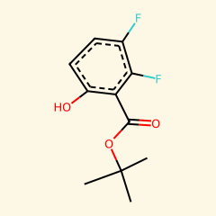 CC(C)(C)OC(=O)c1c(O)ccc(F)c1F